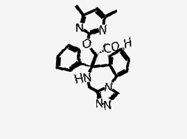 Cc1cc(C)nc(O[C@H](C(=O)O)[C@@]2(c3ccccc3)NCc3nncn3-c3ccccc32)n1